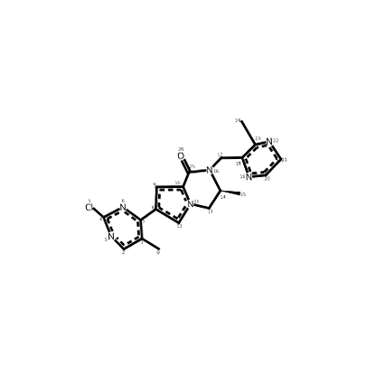 Cc1cnc(Cl)nc1-c1cc2n(c1)C[C@H](C)N(Cc1nccnc1C)C2=O